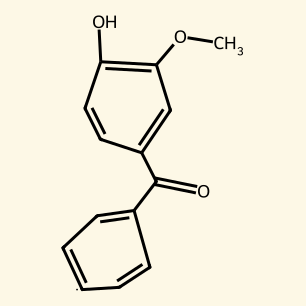 COc1cc(C(=O)c2cc[c]cc2)ccc1O